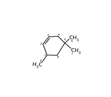 CC1C=CCC(C)(C)C1